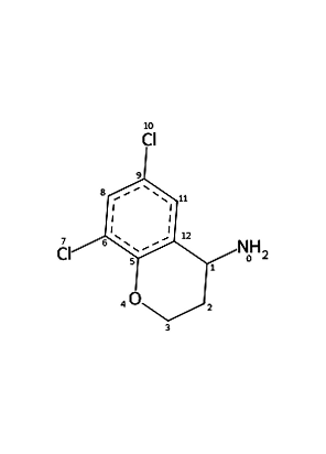 NC1CCOc2c(Cl)cc(Cl)cc21